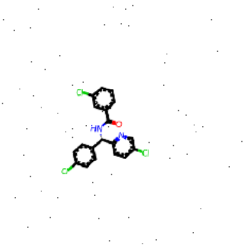 O=C(N[C@@H](c1ccc(Cl)cc1)c1ccc(Cl)cn1)c1cccc(Cl)c1